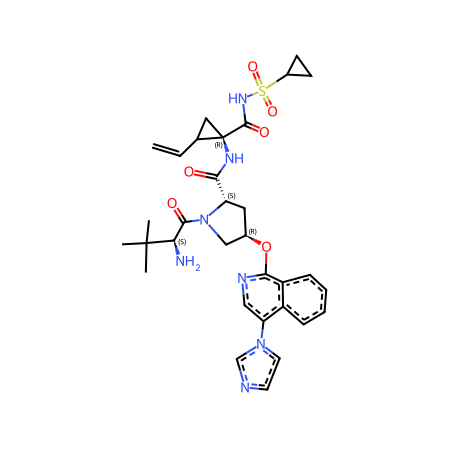 C=CC1C[C@]1(NC(=O)[C@@H]1C[C@@H](Oc2ncc(-n3ccnc3)c3ccccc23)CN1C(=O)[C@@H](N)C(C)(C)C)C(=O)NS(=O)(=O)C1CC1